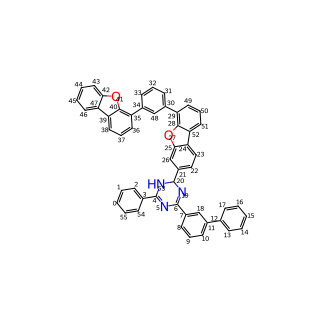 c1ccc(C2=NC(c3cccc(-c4ccccc4)c3)=NC(c3ccc4c(c3)oc3c(-c5cccc(-c6cccc7c6oc6ccccc67)c5)cccc34)N2)cc1